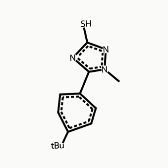 Cn1nc(S)nc1-c1ccc(C(C)(C)C)cc1